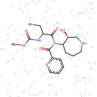 CC(C)CC(NC(=O)OC(C)(C)C)C(=O)N(C(=O)c1ccccn1)C1CCCNC[C@@H]1O